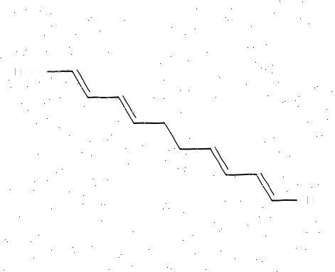 C/C=C/C=C/CC/C=C/C=C/C(=O)O